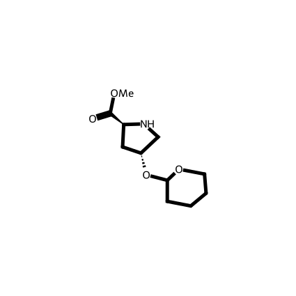 COC(=O)[C@@H]1C[C@@H](OC2CCCCO2)CN1